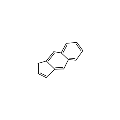 [C]1=Cc2cc3ccccc3cc2[CH]1